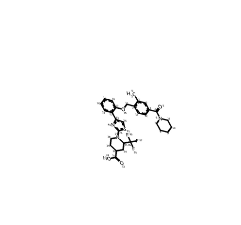 Cc1cc(C(=O)N2CCCCC2)ccc1COc1ccccc1-c1csc(N2CCC(C(=O)O)CC2C(F)(F)F)n1